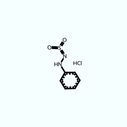 Cl.O=S(=O)=NNc1ccccc1